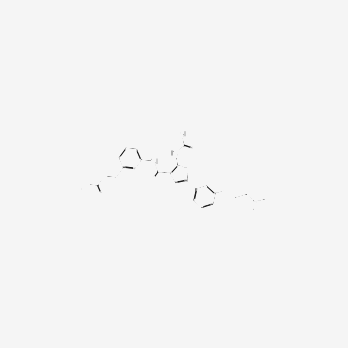 CCN(CC)CCOc1cccc(-c2cc(C(=O)Nc3cccc(COC(=O)C(F)(F)F)c3)c(NC(N)=O)s2)c1